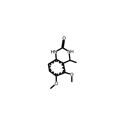 COc1ccc2c(c1OC)C(C)NC(=O)N2